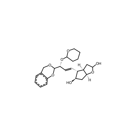 OC1C[C@@H]2[C@@H](/C=C/[C@@H](OC3CCCCO3)C3OCc4ccccc4O3)[C@H](O)C[C@@H]2O1